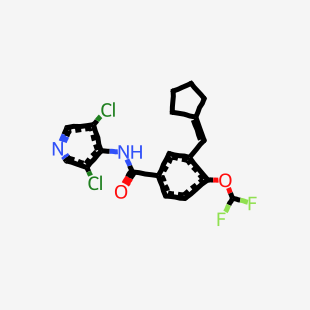 O=C(Nc1c(Cl)cncc1Cl)c1ccc(OC(F)F)c(C=C2CCCC2)c1